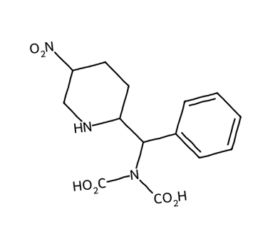 O=C(O)N(C(=O)O)C(c1ccccc1)C1CCC([N+](=O)[O-])CN1